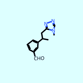 CC(Cc1nncn1C)c1cccc(C=O)c1